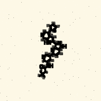 CC(C)(C)CC(=O)Nc1cncc(-c2ccc3[nH]nc(-c4cc5c(-c6cccs6)cncc5[nH]4)c3n2)c1